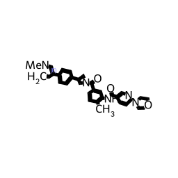 C=C/C(=C\NC)c1ccc(C2CN(C(=O)c3ccc(C)c(NC(=O)c4ccc(N5CCOCC5)nc4)c3)C2)cc1